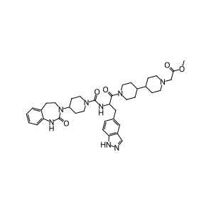 COC(=O)CN1CCC(C2CCN(C(=O)C(Cc3ccc4[nH]ncc4c3)NC(=O)N3CCC(N4CCc5ccccc5NC4=O)CC3)CC2)CC1